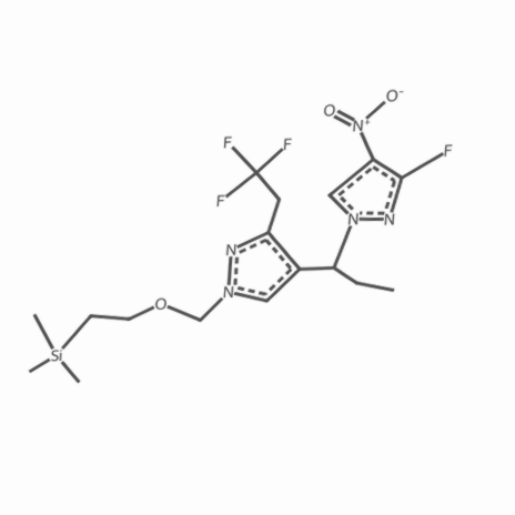 CCC(c1cn(COCC[Si](C)(C)C)nc1CC(F)(F)F)n1cc([N+](=O)[O-])c(F)n1